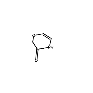 O=C1COC=CN1